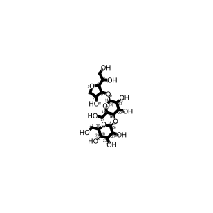 OCC(O)C1OCC(O)C1O[C@@H]1OC(CO)[C@H](O[C@@H]2OC(CO)[C@@H](O)C(O)C2O)C(O)C1O